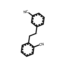 N#Cc1cccc([CH]Cc2ccccc2C#N)c1